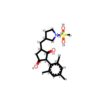 Cc1cc(C)c(C2C(=O)CC(CC3CCN(S(C)(=O)=O)C3)C2=O)c(C)c1